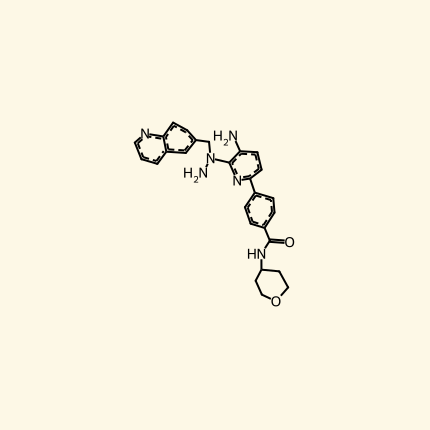 Nc1ccc(-c2ccc(C(=O)NC3CCOCC3)cc2)nc1N(N)Cc1ccc2ncccc2c1